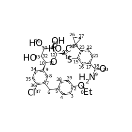 CCOc1ccc(Cc2cc([C@@H]3O[C@H](CSc4cc(C(N)=O)ccc4C4(C(=O)O)CC4)[C@H](O)[C@@H](O)[C@H]3O)ccc2Cl)cc1